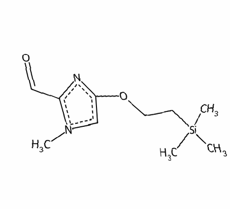 Cn1cc(OCC[Si](C)(C)C)nc1C=O